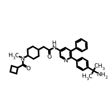 CN(C(=O)C1CCC1)C1CCC(CC(=O)Nc2cnc(-c3ccc(C(C)(C)N)cc3)c(-c3ccccc3)c2)CC1